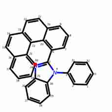 c1ccc(-n2c(-c3cccc4ccc5ccc6ccccc6c5c34)nc3ccccc32)cc1